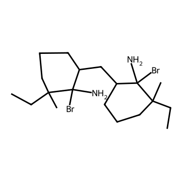 CCC1(C)CCCC(CC2CCCC(C)(CC)C2(N)Br)C1(N)Br